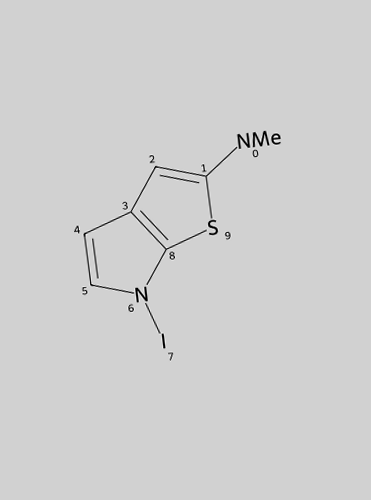 CNc1cc2ccn(I)c2s1